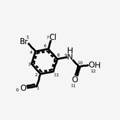 O=Cc1cc(Br)c(Cl)c(NC(=O)O)c1